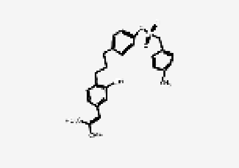 CO/C(=C/c1ccc(CCCc2ccc(OS(=O)(=O)Cc3ccc(C)cc3)cc2)c(O)c1)C(=O)O